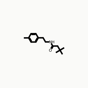 Cc1ccc(CCNC(=O)CC(C)(C)C)cc1